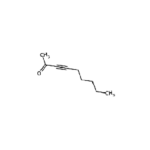 CCCCCC#CC(C)=O